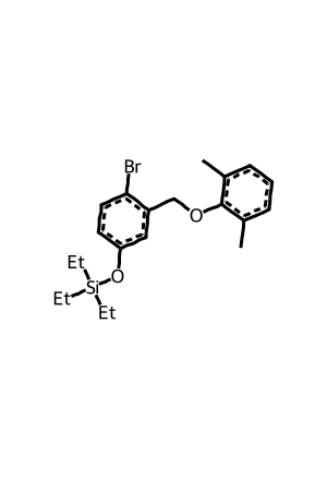 CC[Si](CC)(CC)Oc1ccc(Br)c(COc2c(C)cccc2C)c1